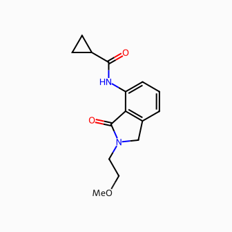 COCCN1Cc2cccc(NC(=O)C3CC3)c2C1=O